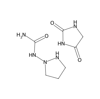 NC(=O)NN1CCCN1.O=C1CNC(=O)N1